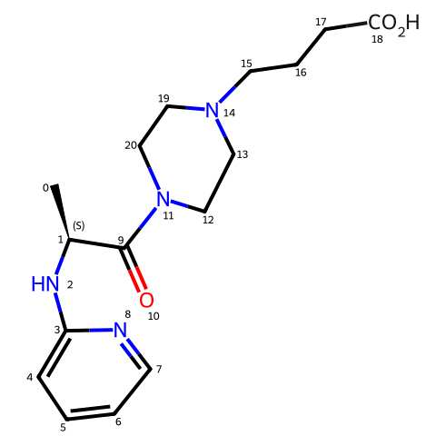 C[C@H](Nc1ccccn1)C(=O)N1CCN(CCCC(=O)O)CC1